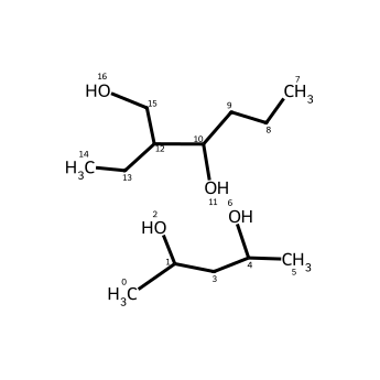 CC(O)CC(C)O.CCCC(O)C(CC)CO